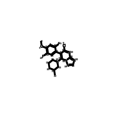 COc1cc(F)c(-c2c(Cl)nc3ncnn3c2N2CCCC(C)C2)cc1F